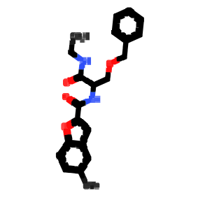 COc1ccc2oc(C(=O)NC(COCc3ccccc3)C(=O)NCC(=O)O)cc2c1